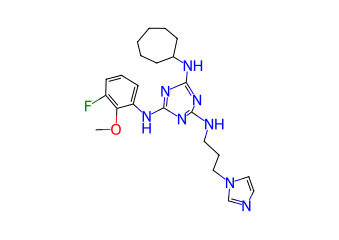 COc1c(F)cccc1Nc1nc(NCCCn2ccnc2)nc(NC2CCCCCC2)n1